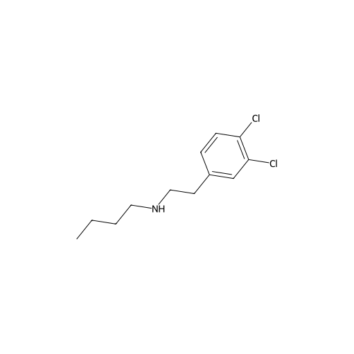 CCCCNCCc1ccc(Cl)c(Cl)c1